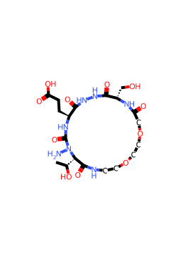 CC(O)[C@H]1C(=O)NCCOCCOCC(=O)N[C@@H](CO)C(=O)NNC(=O)[C@H](CCC(=O)O)NC(=O)N1N